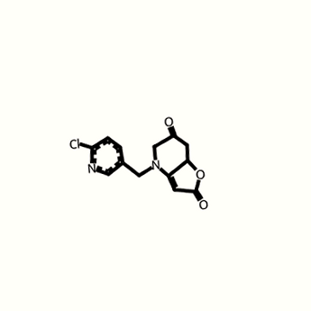 O=C1CC2OC(=O)C=C2N(Cc2ccc(Cl)nc2)C1